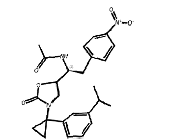 CC(=O)N[C@@H](Cc1ccc([N+](=O)[O-])cc1)C1CN(C2(c3cccc(C(C)C)c3)CC2)C(=O)O1